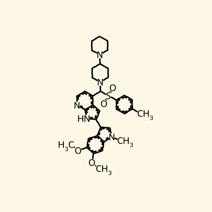 COc1cc2c(-c3cc4c(C(N5CCC(N6CCCCC6)CC5)S(=O)(=O)c5ccc(C)cc5)ccnc4[nH]3)cn(C)c2cc1OC